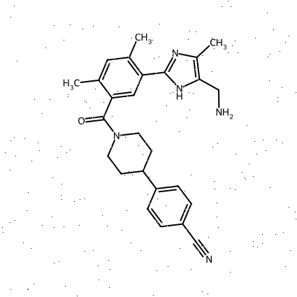 Cc1cc(C)c(-c2nc(C)c(CN)[nH]2)cc1C(=O)N1CCC(c2ccc(C#N)cc2)CC1